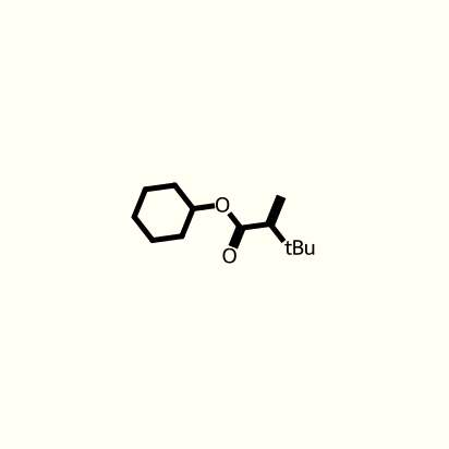 C=C(C(=O)OC1CCCCC1)C(C)(C)C